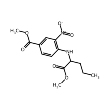 CCCC(Nc1ccc(C(=O)OC)cc1[N+](=O)[O-])C(=O)OC